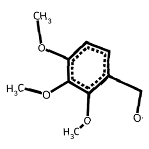 COc1ccc(C[O])c(OC)c1OC